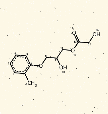 Cc1ccccc1OCC(O)COC(=O)CO